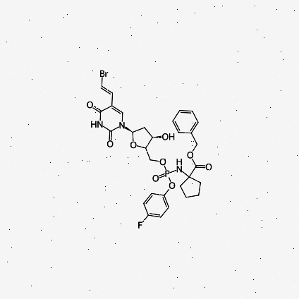 O=C(OCc1ccccc1)C1(NP(=O)(OCC2O[C@@H](n3cc(/C=C/Br)c(=O)[nH]c3=O)C[C@H]2O)Oc2ccc(F)cc2)CCCC1